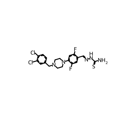 NC(=S)NN=Cc1cc(F)c(N2CCN(Cc3ccc(Cl)c(Cl)c3)CC2)cc1F